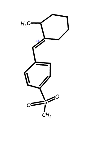 CC1CCCC/C1=C\c1ccc(S(C)(=O)=O)cc1